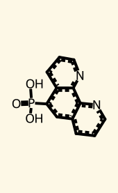 O=P(O)(O)c1cc2cccnc2c2ncccc12